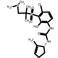 CC1=CCC[C@H]1NC(=O)Nc1ccc(Cl)c(S(=O)(=O)C(C)(C)CN(C)C)c1O